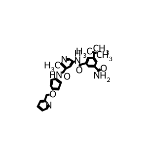 Cc1ncc(NC(=O)c2cc(C(N)=O)cc(C(C)(C)C)c2)cc1C(=O)Nc1ccc(OCc2ccccn2)cc1